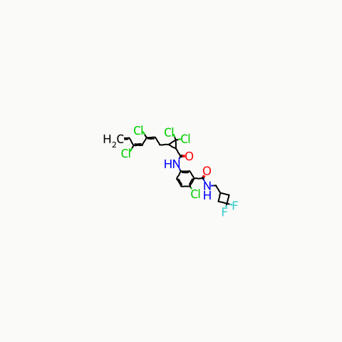 C=C/C(Cl)=C\C(Cl)=C/CC1C(C(=O)Nc2ccc(Cl)c(C(=O)NCC3CC(F)(F)C3)c2)C1(Cl)Cl